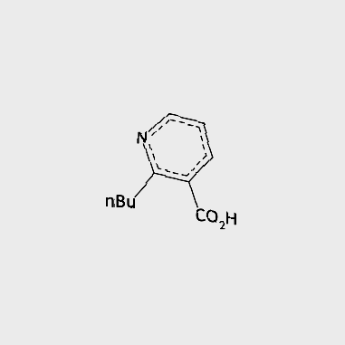 CCCCc1ncccc1C(=O)O